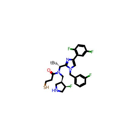 CC(C)(C)[C@H](c1nc(-c2cc(F)ccc2F)cn1Cc1cccc(F)c1)N(C[C@@H]1CNC[C@@H]1F)C(=O)CCS